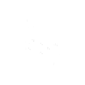 O=c1[nH]c2cnc(-n3cnc4cc(F)c(F)cc43)nc2n1C1CCOc2c(F)cccc21